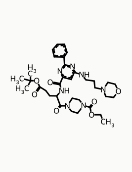 CCOC(=O)N1CCN(C(=O)C(CCC(=O)OC(C)(C)C)NC(=O)c2cc(NCCCN3CCOCC3)nc(-c3ccccc3)n2)CC1